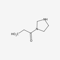 O=C(O)CC(=O)N1CCNC1